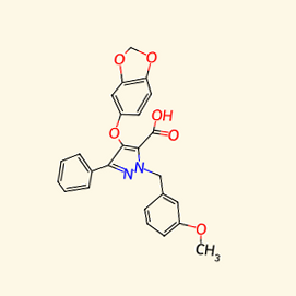 COc1cccc(Cn2nc(-c3ccccc3)c(Oc3ccc4c(c3)OCO4)c2C(=O)O)c1